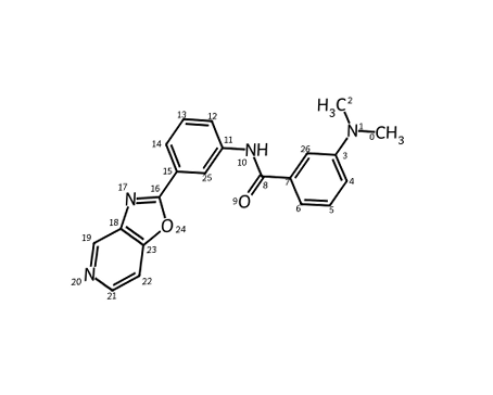 CN(C)c1cccc(C(=O)Nc2cccc(-c3nc4cnccc4o3)c2)c1